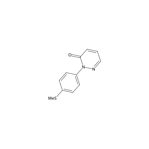 CSc1ccc(-n2ncccc2=O)cc1